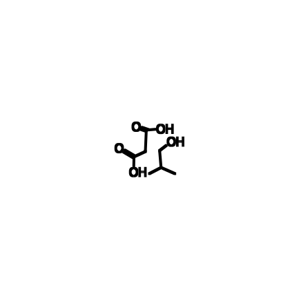 CC(C)CO.O=C(O)CC(=O)O